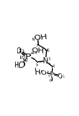 CP(=O)(O)CN(CCO)CP(=O)(O)O